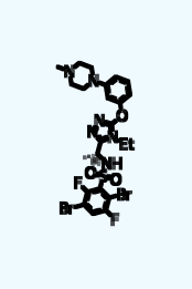 CCn1c(Oc2cccc(N3CCN(C)CC3)c2)nnc1[C@@H](C)NS(=O)(=O)c1c(F)c(Br)cc(F)c1Br